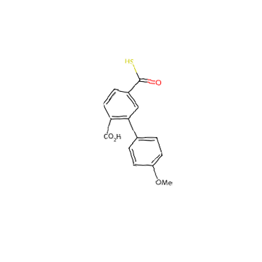 COc1ccc(-c2cc(C(=O)S)ccc2C(=O)O)cc1